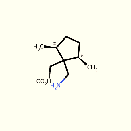 C[C@@H]1CC[C@H](C)C1(CN)CC(=O)O